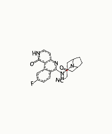 N#CCC(=O)N1C2CCC1CC(Nc1nc3cc[nH]c(=O)c3c3cc(F)ccc13)C2